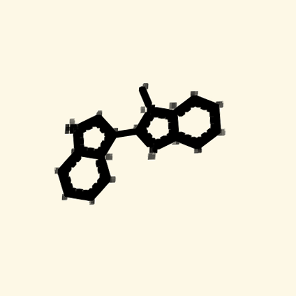 Cn1c(-c2c[nH]c3ccccc23)nc2ccccc21